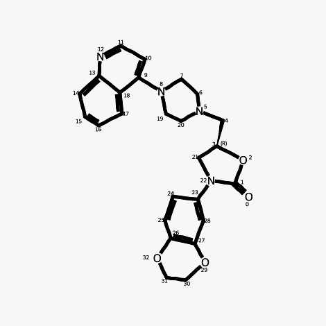 O=C1O[C@H](CN2CCN(c3ccnc4ccccc34)CC2)CN1c1ccc2c(c1)OCCO2